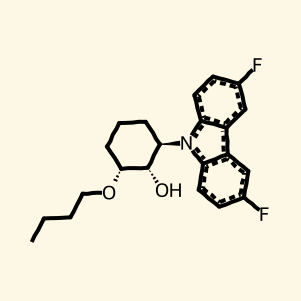 CCCCO[C@@H]1CCC[C@@H](n2c3ccc(F)cc3c3cc(F)ccc32)[C@@H]1O